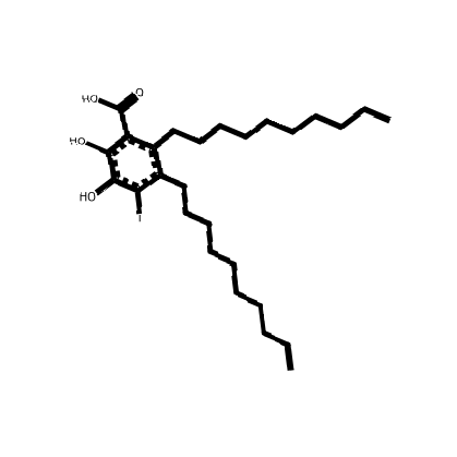 CCCCCCCCCCc1c(I)c(O)c(O)c(C(=O)O)c1CCCCCCCCCC